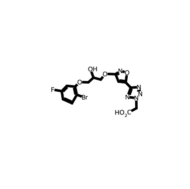 O=C(O)Cn1nnc(-c2cc(OCC(O)COc3cc(F)ccc3Br)no2)n1